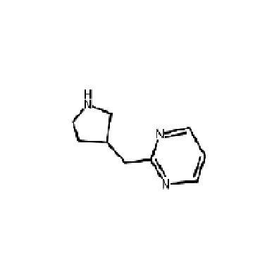 c1cnc(CC2CCNC2)nc1